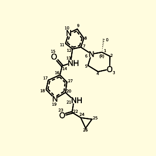 C[C@@H]1COCCN1c1ccncc1NC(=O)c1ccnc(NC(=O)C2CC2)c1